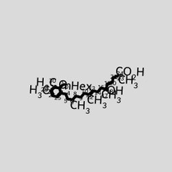 CCCCCCOC1C(CCC(C)CCC/C(C)=C/CCC(C)(O)CCCC(C)C(=O)O)=CC=C(C)C1C